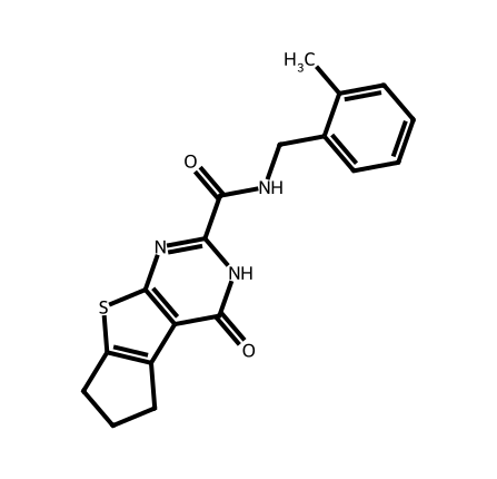 Cc1ccccc1CNC(=O)c1nc2sc3c(c2c(=O)[nH]1)CCC3